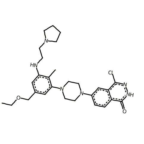 CCOCc1cc(NCCN2CCCC2)c(C)c(N2CCN(c3ccc4c(=O)[nH]nc(Cl)c4c3)CC2)c1